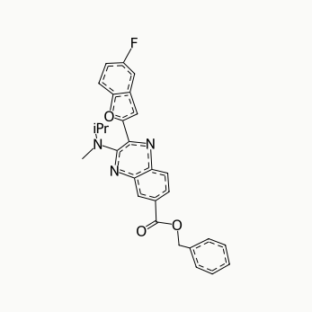 CC(C)N(C)c1nc2cc(C(=O)OCc3ccccc3)ccc2nc1-c1cc2cc(F)ccc2o1